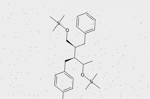 CC(O[Si](C)(C)C)[C@@H](Cc1ccc(F)cc1)[C@@H](CO[Si](C)(C)C)Cc1ccccc1